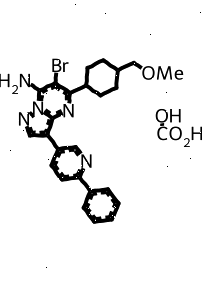 COCC1CCC(c2nc3c(-c4ccc(-c5ccccc5)nc4)cnn3c(N)c2Br)CC1.O=C(O)O